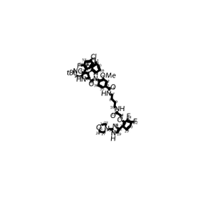 COc1cc(C(=O)NCCCCNC(=O)COc2c(-c3c[nH]c(N4CCOCC4)n3)ccc(F)c2F)ccc1NC(=O)[C@@H]1N[C@@H](CC(C)(C)C)[C@](C#N)(c2ccc(Cl)cc2F)[C@H]1c1cccc(Cl)c1F